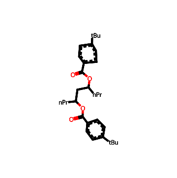 CCCC(CC(CCC)OC(=O)c1ccc(C(C)(C)C)cc1)OC(=O)c1ccc(C(C)(C)C)cc1